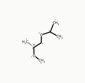 CO[C@H](C)COC(C)C